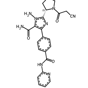 N#CCC(=O)N1CCC[C@H]1c1nc(-c2ccc(C(=O)Nc3ccccn3)cc2)c(C(N)=O)n1N